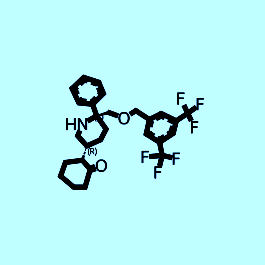 O=C1CCCCC1[C@H]1CC[C@@](COCc2cc(C(F)(F)F)cc(C(F)(F)F)c2)(c2ccccc2)NC1